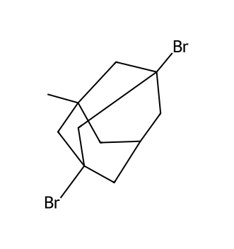 CC12CC3CC(Br)(C1)CC(Br)(C3)C2